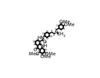 COc1ccc(CN(C)CCc2ccc(NC(=O)c3cccc4c(=O)c5c(OC)c(OC)c(OC)cc5[nH]c34)cc2)cc1OC